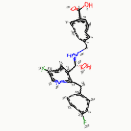 O=C(O)c1ccc(CN[C@H](O)c2cc(F)cnc2Cc2ccc(F)cc2)cc1